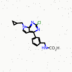 O=C(O)NCc1cccc(-c2nc(Cl)nc3c2ccn3CC2CC2)c1